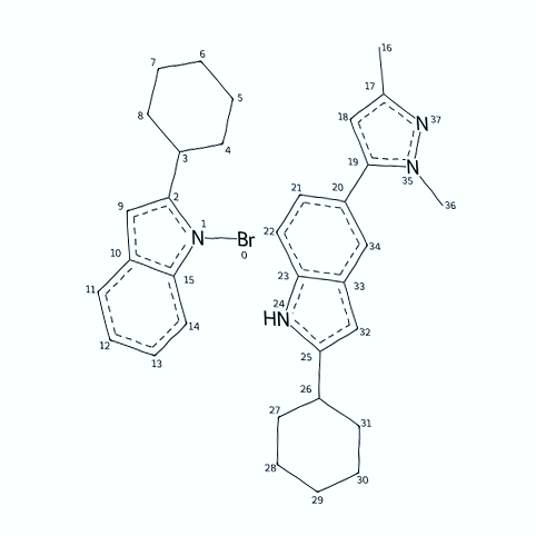 Brn1c(C2CCCCC2)cc2ccccc21.Cc1cc(-c2ccc3[nH]c(C4CCCCC4)cc3c2)n(C)n1